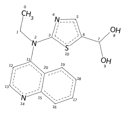 CCN(c1ncc(C(O)O)s1)c1ccnc2ccccc12